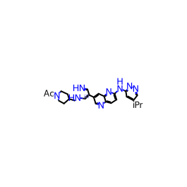 CC(=O)N1CCC(CN/C=C(\C=N)c2cnc3ccc(Nc4cc(C(C)C)cnn4)nc3c2)CC1